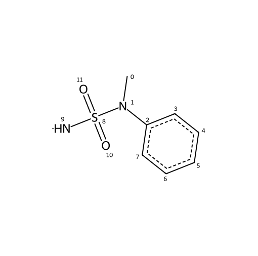 CN(c1ccccc1)S([NH])(=O)=O